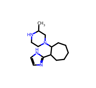 CC1CN(C2CCCCCC2c2ncc[nH]2)CCN1